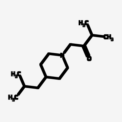 CC(C)CC1CCN(CC(=O)C(C)C)CC1